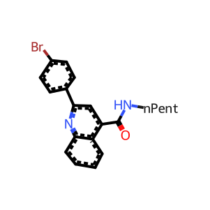 CCCCCNC(=O)c1cc(-c2ccc(Br)cc2)nc2ccccc12